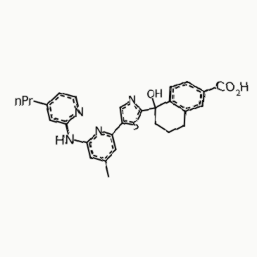 CCCc1ccnc(Nc2cc(C)cc(-c3cnc(C4(O)CCCc5cc(C(=O)O)ccc54)s3)n2)c1